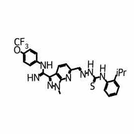 CC(C)c1ccccc1NC(=S)NN=Cc1ccc2c(C(=N)Nc3ccc(OC(F)(F)F)cc3)nn(C)c2n1